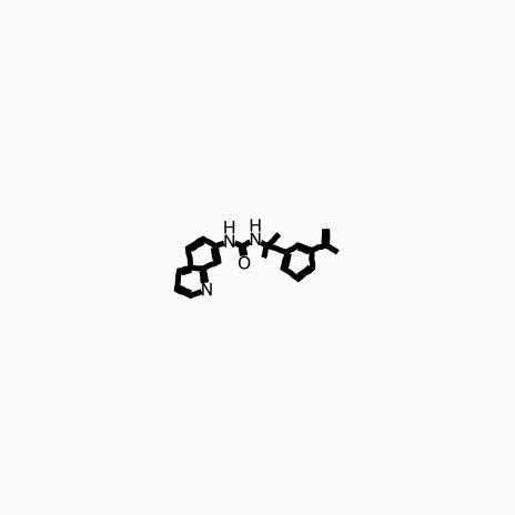 C=C(C)c1cccc(C(C)(C)NC(=O)Nc2ccc3cccnc3c2)c1